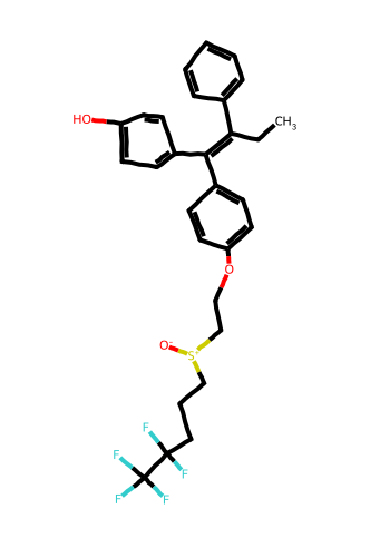 CC/C(=C(/c1ccc(O)cc1)c1ccc(OCC[S+]([O-])CCCC(F)(F)C(F)(F)F)cc1)c1ccccc1